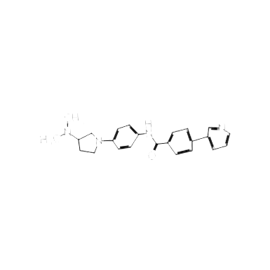 CN(C)C1CCN(c2ccc(NC(=O)c3ccc(-c4cccnc4)cc3)cc2)C1